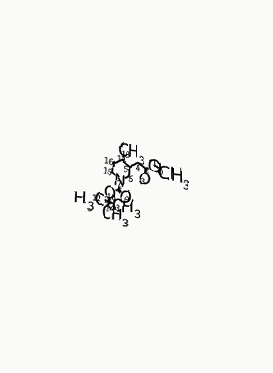 COC(=O)CC1CN(C(=O)OC(C)(C)C)CC[C@@H]1C